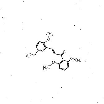 CCc1ccc(OC)c(C=CC(=O)c2c(OC)cccc2OC)c1